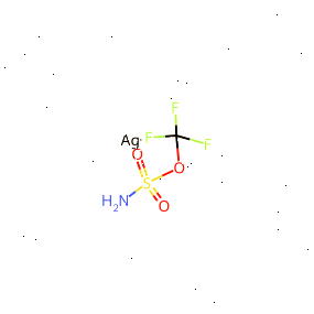 NS(=O)(=O)OC(F)(F)F.[Ag]